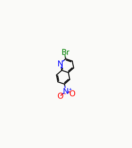 O=[N+]([O-])c1ccc2nc(Br)ccc2c1